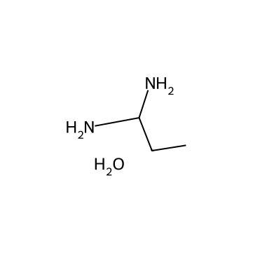 CCC(N)N.O